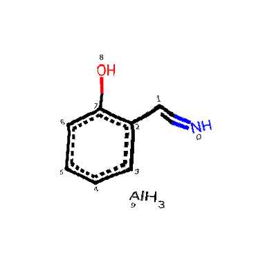 N=Cc1ccccc1O.[AlH3]